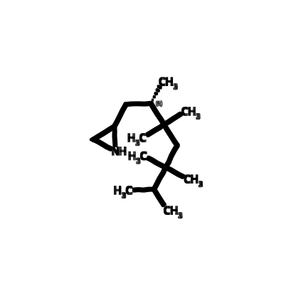 CC(C)C(C)(C)CC(C)(C)[C@@H](C)CC1CN1